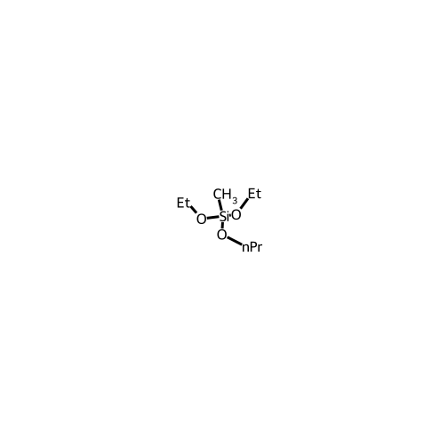 CCCO[Si](C)(OCC)OCC